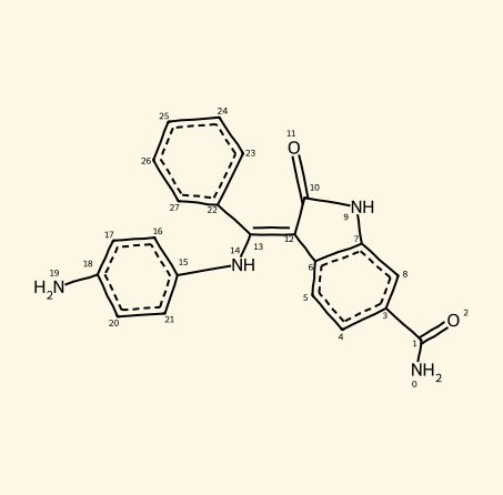 NC(=O)c1ccc2c(c1)NC(=O)C2=C(Nc1ccc(N)cc1)c1ccccc1